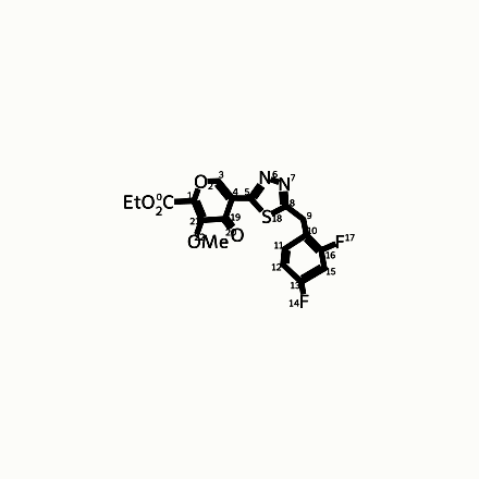 CCOC(=O)c1occ(-c2nnc(Cc3ccc(F)cc3F)s2)c(=O)c1OC